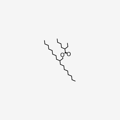 CCCCCCCCC(CCCCCCCC)COC(=O)C(CC)CCCC